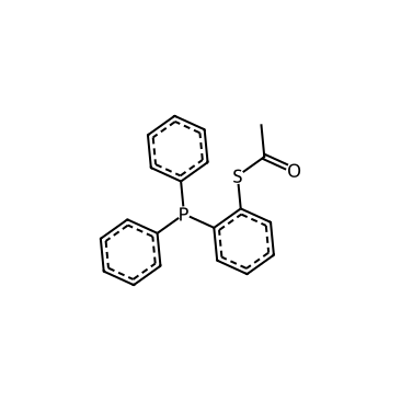 CC(=O)Sc1ccccc1P(c1ccccc1)c1ccccc1